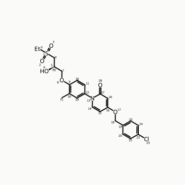 CCS(=O)(=O)C[C@H](O)COc1ccc(-n2ccc(OCc3ccc(Cl)cc3)cc2=O)cc1C